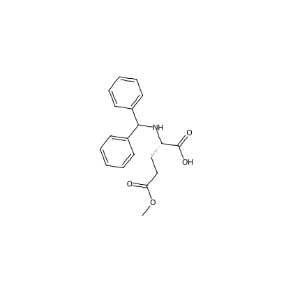 COC(=O)CC[C@H](NC(c1ccccc1)c1ccccc1)C(=O)O